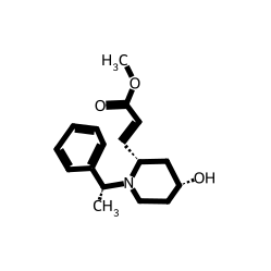 COC(=O)C=C[C@@H]1C[C@H](O)CCN1[C@H](C)c1ccccc1